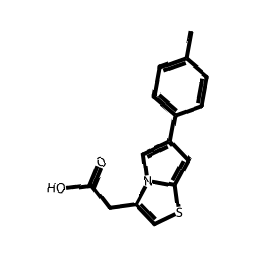 Cc1ccc(-c2cc3scc(CC(=O)O)n3c2)cc1